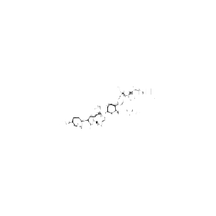 COc1cc(-n2cnn3cc(-c4ccc(Cl)cn4)cc3c2=O)ccc1OCC(C)(C)OC(=O)CN